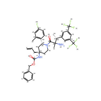 C=CC[C@]1(NC(=O)OCc2ccccc2)CCN(C(=O)C(C)(N)[C@H](C)c2cc(C(F)(F)F)cc(C(F)(F)F)c2)[C@@H](c2ccc(F)cc2C)C1